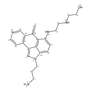 NCCCn1nc2c3c(c(NCCNCCO)ccc31)C(=O)c1cnccc1-2